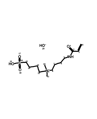 C=CC(=O)NCCCC[N+](C)(C)CCCCS(=O)(=O)O.[OH-]